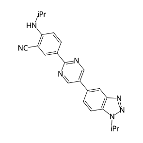 CC(C)Nc1ccc(-c2ncc(-c3ccc4c(c3)nnn4C(C)C)cn2)cc1C#N